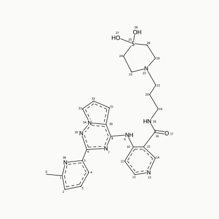 Cc1cccc(-c2nc(Nc3ccncc3C(=O)NCCCN3CCS(O)(O)CC3)c3cccn3n2)n1